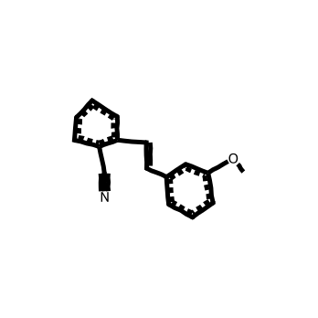 COc1cccc(/C=C/c2ccccc2C#N)c1